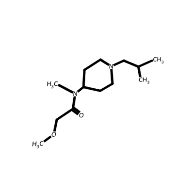 COCC(=O)N(C)C1CCN(CC(C)C)CC1